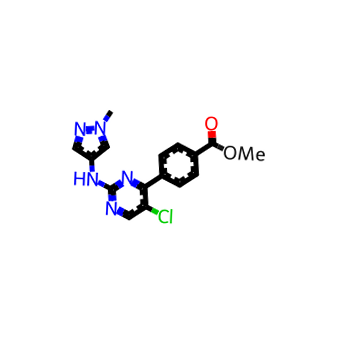 COC(=O)c1ccc(-c2nc(Nc3cnn(C)c3)ncc2Cl)cc1